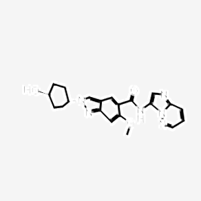 COc1cc2nn([C@H]3CC[C@H](O)CC3)cc2cc1C(=O)Nc1cnc2cccnn12